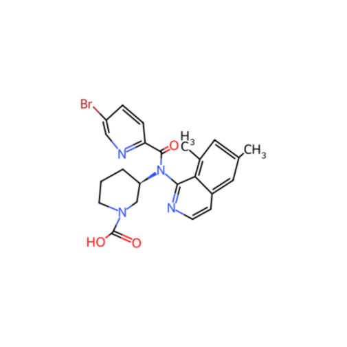 Cc1cc(C)c2c(N(C(=O)c3ccc(Br)cn3)[C@@H]3CCCN(C(=O)O)C3)nccc2c1